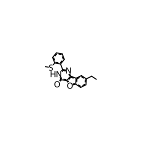 CCc1ccc2oc3c(=O)[nH]c(-c4ccccc4SC)nc3c2c1